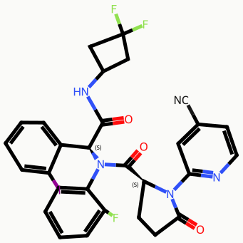 N#Cc1ccnc(N2C(=O)CC[C@H]2C(=O)N(c2ccccc2F)[C@H](C(=O)NC2CC(F)(F)C2)c2ccccc2I)c1